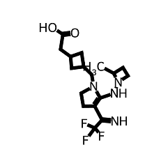 CC1CCN1NC1=C(C(=N)C(F)(F)F)CCN1CC1CC(CC(=O)O)C1